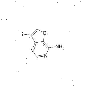 Nc1ncnc2c(I)coc12